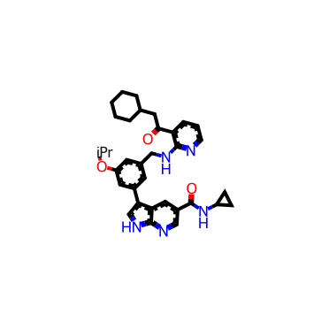 CC(C)Oc1cc(CNc2ncccc2C(=O)CC2CCCCC2)cc(-c2c[nH]c3ncc(C(=O)NC4CC4)cc23)c1